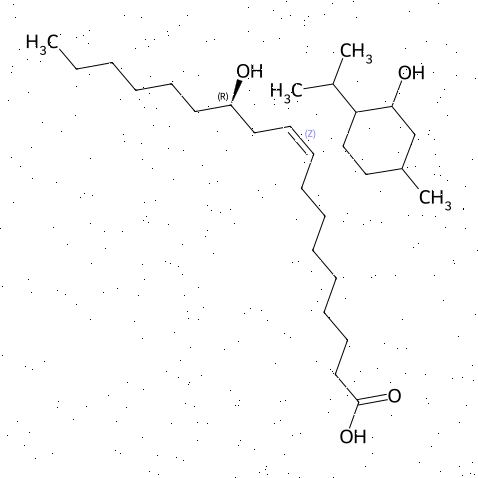 CC1CCC(C(C)C)C(O)C1.CCCCCC[C@@H](O)C/C=C\CCCCCCCC(=O)O